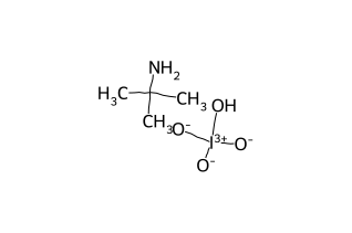 CC(C)(C)N.[O-][I+3]([O-])([O-])O